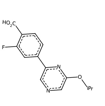 CC(C)Oc1cncc(-c2ccc(C(=O)O)c(F)c2)n1